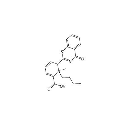 CCCC[N+]1(C)C(C(=O)O)=CC=CC1c1nc(=O)c2ccccc2s1